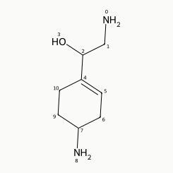 NCC(O)C1=CCC(N)CC1